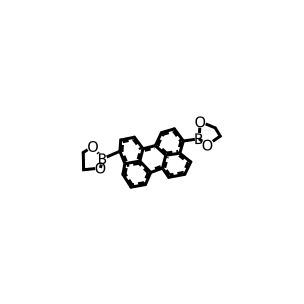 c1cc2c(B3OCCO3)ccc3c4ccc(B5OCCO5)c5cccc(c(c1)c23)c54